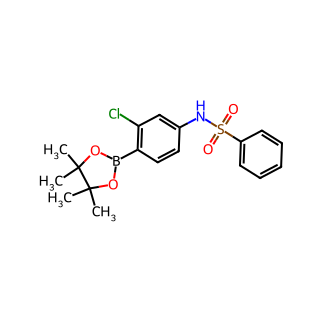 CC1(C)OB(c2ccc(NS(=O)(=O)c3ccccc3)cc2Cl)OC1(C)C